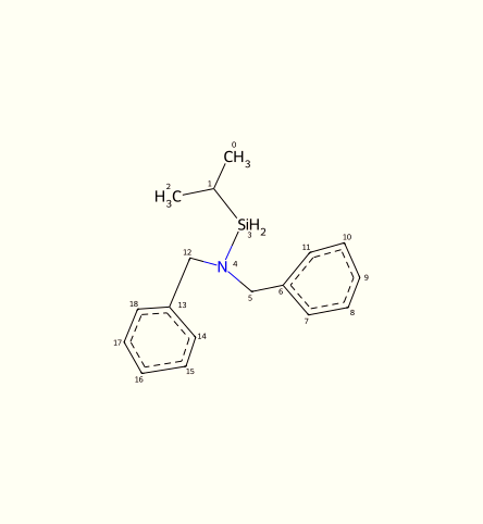 CC(C)[SiH2]N(Cc1ccccc1)Cc1ccccc1